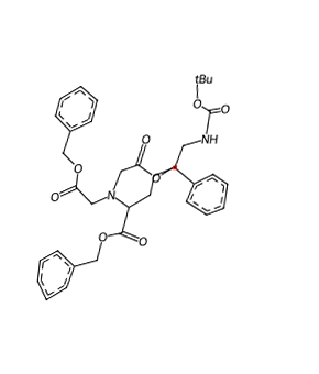 CC(C)(C)OC(=O)NCCCCC(C(=O)OCc1ccccc1)N(CC(=O)OCc1ccccc1)CC(=O)OCc1ccccc1